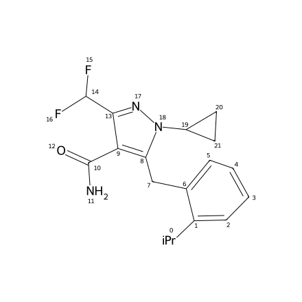 CC(C)c1ccccc1Cc1c(C(N)=O)c(C(F)F)nn1C1CC1